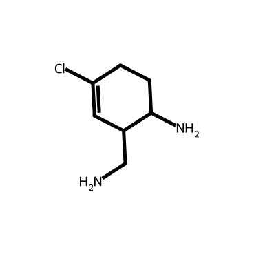 NCC1C=C(Cl)CCC1N